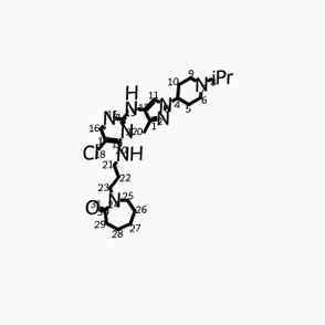 Cc1nn(C2CCN(C(C)C)CC2)cc1Nc1ncc(Cl)c(NCCCN2CCCCCC2=O)n1